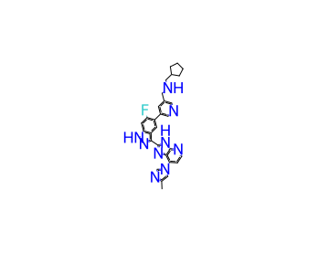 Cc1cn(-c2ccnc3[nH]c(-c4n[nH]c5cc(F)c(-c6cncc(CNCC7CCCC7)c6)cc45)nc23)cn1